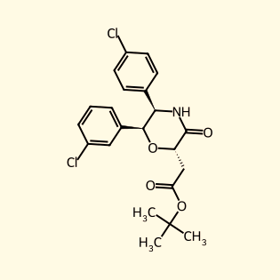 CC(C)(C)OC(=O)C[C@@H]1O[C@@H](c2cccc(Cl)c2)[C@@H](c2ccc(Cl)cc2)NC1=O